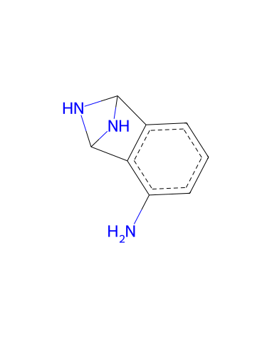 Nc1cccc2c1C1NC2N1